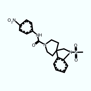 CS(=O)(=O)N1CC2(CCN(C(=O)Nc3ccc([N+](=O)[O-])cc3)CC2)c2ccccc21